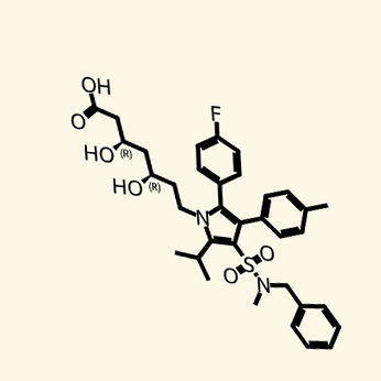 Cc1ccc(-c2c(S(=O)(=O)N(C)Cc3ccccc3)c(C(C)C)n(CC[C@@H](O)C[C@@H](O)CC(=O)O)c2-c2ccc(F)cc2)cc1